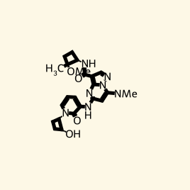 CNc1cc(Nc2cccn([C@H]3CC[C@H]3O)c2=O)nc2c(C(=O)N[C@H]3CC[C@]3(C)OC)cnn12